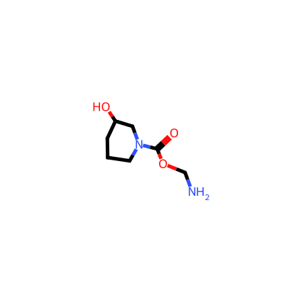 NCOC(=O)N1CCCC(O)C1